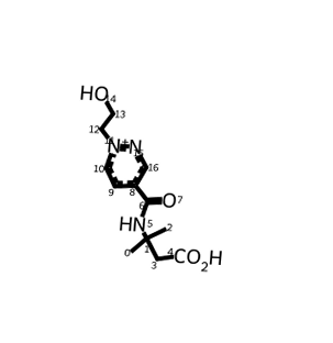 CC(C)(CC(=O)O)NC(=O)c1cc[n+](CCO)nc1